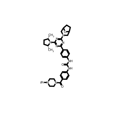 CC(C)N1CCN(C(=O)c2ccc(NC(=O)Nc3ccc(-c4nc(N5CC6CCC(C5)O6)nc(N5[C@H](C)CC[C@@H]5C)n4)cc3)cc2)CC1